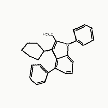 O=C(O)c1c(C2CCCCC2)c2c(-c3ccccc3)cccc2n1-c1ccccc1